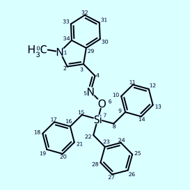 Cn1cc(/C=N/O[Si](Cc2ccccc2)(Cc2ccccc2)Cc2ccccc2)c2ccccc21